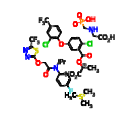 CC(C)N(C(=O)COc1nnc(C(F)(F)F)s1)c1ccc(F)cc1.C[C@H](OC(=O)c1cc(Oc2ccc(C(F)(F)F)cc2Cl)ccc1Cl)C(=O)O.C[S+](C)C.O=C(O)CNCP(=O)([O-])O